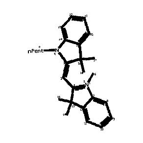 CCCCCN1/C(=C/C2=[N+](C)c3ccccc3C2(C)C)C(C)(C)c2ccccc21